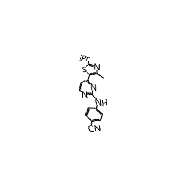 Cc1nc(C(C)C)sc1-c1ccnc(Nc2ccc(C#N)cc2)n1